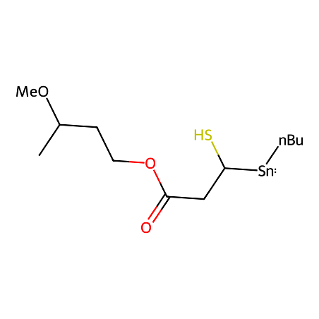 CCC[CH2][Sn][CH](S)CC(=O)OCCC(C)OC